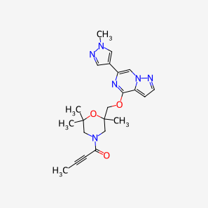 CC#CC(=O)N1CC(C)(C)OC(C)(COc2nc(-c3cnn(C)c3)cn3nccc23)C1